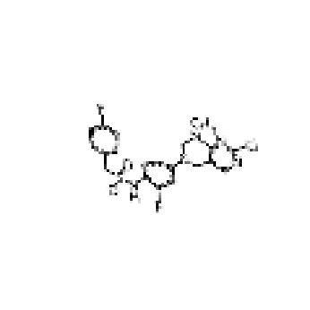 CN1CN(c2ccc(NS(=O)(=O)Cc3ccc(F)cc3)c(F)c2)Cc2cnc(Cl)nc21